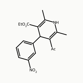 CCOC(=O)C1=C(C)NC(C)=C(C(C)=O)C1c1cccc([N+](=O)[O-])c1